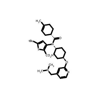 CC1=CC[C@@H](C(=O)N(c2cc(C(C)(C)C)sc2C(=O)O)[C@H]2CC[C@H](Oc3cc(CN(C)C)ccn3)CC2)CC1